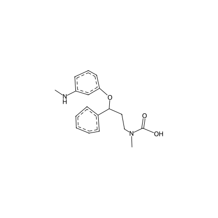 CNc1cccc(OC(CCN(C)C(=O)O)c2ccccc2)c1